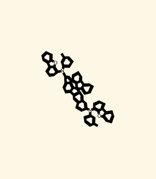 Cc1cccc(N(c2ccc3cc4c(cc3c2)C2(c3ccccc3-c3ccccc32)c2c-4ccc3cc(N(c4cccc(C)c4)c4cccc5c4oc4ccccc45)ccc23)c2cccc3c2oc2ccccc23)c1